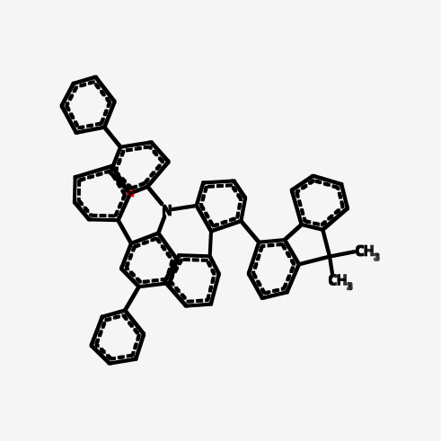 CC1(C)c2ccccc2-c2c(-c3cccc(N(c4ccc(-c5ccccc5)cc4)c4ccc(-c5ccccc5)cc4-c4ccccc4)c3-c3ccccc3)cccc21